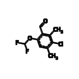 Cc1cc(OC(F)F)c(C=O)c(C)c1Cl